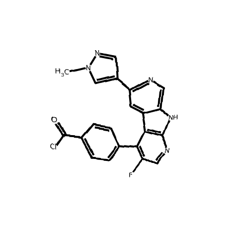 Cn1cc(-c2cc3c(cn2)[nH]c2ncc(F)c(-c4ccc(C(=O)Cl)cc4)c23)cn1